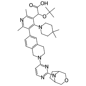 Cc1nc(C)c(C(OC(C)(C)C)C(=O)O)c(N2CCC(C)(C)CC2)c1-c1ccc2c(c1)CCN(c1ccnc(N3C4CCC3COC4)n1)C2